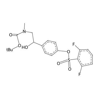 CN(CC(O)c1ccc(OS(=O)(=O)c2c(F)cccc2F)cc1)C(=O)OC(C)(C)C